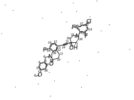 COc1ccc(CN2C(=O)CCc3c(C#CC4(O)CCN(c5c(F)cc(Cl)cc5F)CC4)ccc(F)c32)cc1